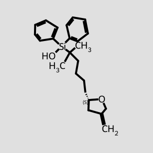 C=C1CO[C@@H](CCCCC(C)(C)[Si](O)(c2ccccc2)c2ccccc2)C1